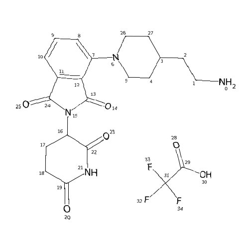 NCCC1CCN(c2cccc3c2C(=O)N(C2CCC(=O)NC2=O)C3=O)CC1.O=C(O)C(F)(F)F